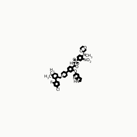 CN(c1ccc(S(=O)(=O)NC(=O)c2ccc(C3=CCN(CC4=C(c5ccc(Cl)cc5F)CC(C)(C)CC4)CC3)cc2Oc2cnc3[nH]ccc3c2)cc1[N+](=O)[O-])[C@H]1COCCO1